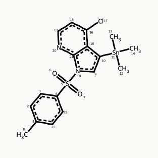 Cc1ccc(S(=O)(=O)n2c[c]([Sn]([CH3])([CH3])[CH3])c3c(Cl)ccnc32)cc1